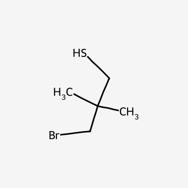 CC(C)(CS)CBr